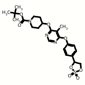 Cc1c(Oc2ccc(C3COS(=O)(=O)O3)cc2)ncnc1OC1CCN(C(=O)OC(C)(C)C)CC1